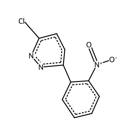 O=[N+]([O-])c1ccccc1-c1ccc(Cl)nn1